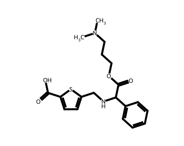 CN(C)CCCOC(=O)C(NCc1ccc(C(=O)O)s1)c1ccccc1